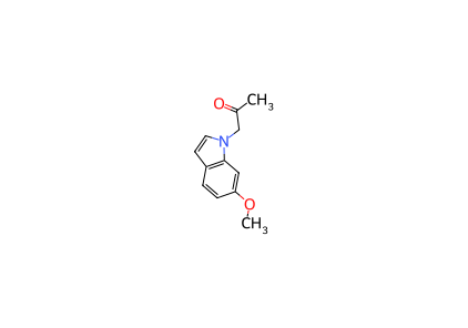 COc1ccc2ccn(CC(C)=O)c2c1